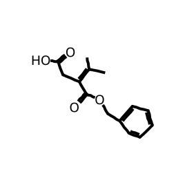 CC(C)=C(CC(=O)O)C(=O)OCc1ccccc1